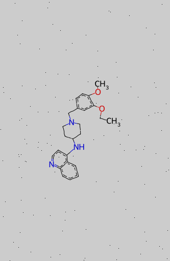 CCOc1cc(CN2CCC(Nc3ccnc4ccccc34)CC2)ccc1OC